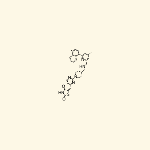 Cc1cc(CNCC2CCN(c3nccc(/C=C4/SC(=O)NC4=O)n3)CC2)nc(-c2ccnc3ccccc23)c1